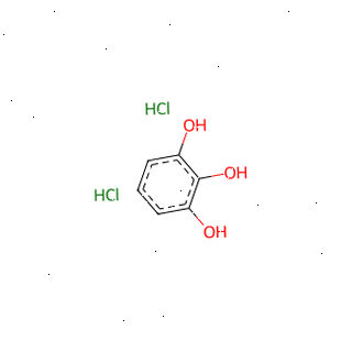 Cl.Cl.Oc1cccc(O)c1O